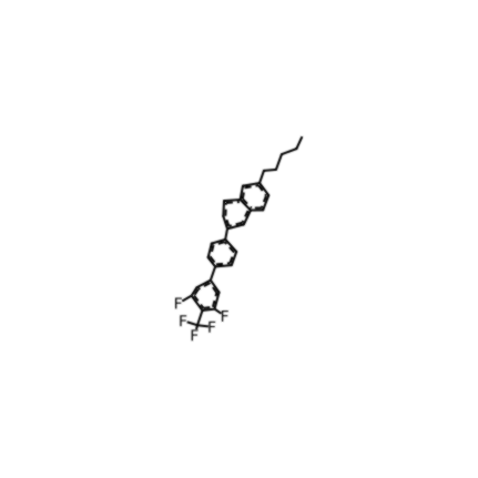 CCCCCc1ccc2cc(-c3ccc(-c4cc(F)c(C(F)(F)F)c(F)c4)cc3)ccc2c1